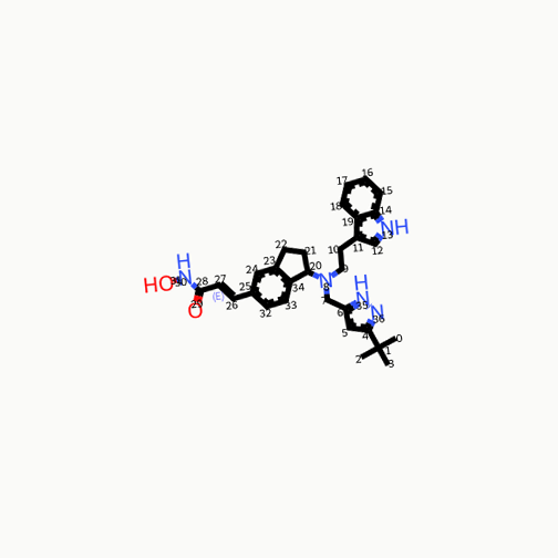 CC(C)(C)c1cc(CN(CCc2c[nH]c3ccccc23)C2CCc3cc(/C=C/C(=O)NO)ccc32)[nH]n1